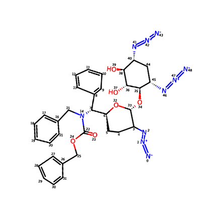 [N-]=[N+]=NC1CC[C@@H]([C@@H](c2ccccc2)N(Cc2ccccc2)C(=O)OCc2ccccc2)O[C@@H]1O[C@H]1[C@H](O)[C@@H](O)[C@H](N=[N+]=[N-])C[C@@H]1N=[N+]=[N-]